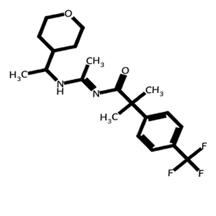 C/C(=N\C(=O)C(C)(C)c1ccc(C(F)(F)F)cc1)NC(C)C1CCOCC1